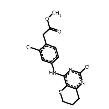 COC(=O)Cc1ccc(Nc2nc(Cl)nc3c2SCCC3)cc1Cl